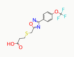 O=C(O)CCSCc1nc(-c2ccc(OC(F)(F)F)cc2)no1